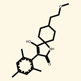 COCCC1CCC2(CC1)NC(=O)C(c1c(C)cc(C)cc1C)=C2O